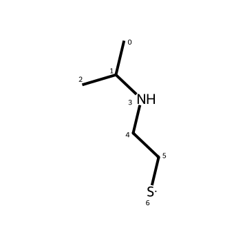 CC(C)NCC[S]